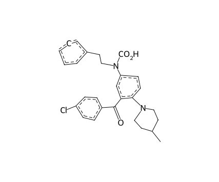 CC1CCN(c2ccc(N(CCc3ccccc3)C(=O)O)cc2C(=O)c2ccc(Cl)cc2)CC1